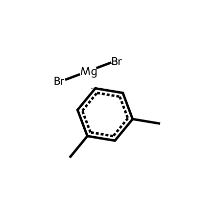 Cc1c[c]cc(C)c1.[Br][Mg][Br]